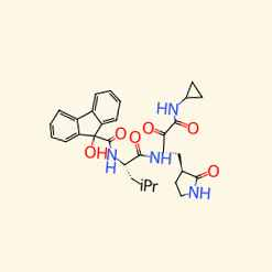 CC(C)C[C@H](NC(=O)C1(O)c2ccccc2-c2ccccc21)C(=O)N[C@@H](C[C@@H]1CCNC1=O)C(=O)C(=O)NC1CC1